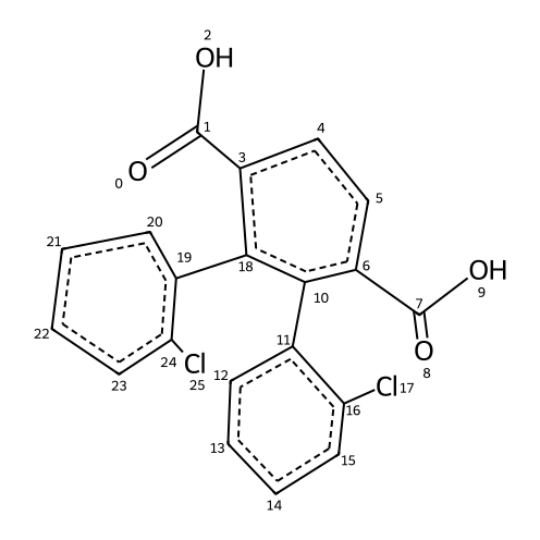 O=C(O)c1ccc(C(=O)O)c(-c2ccccc2Cl)c1-c1ccccc1Cl